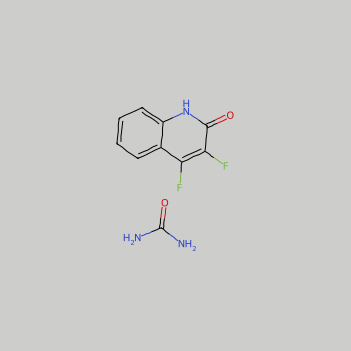 NC(N)=O.O=c1[nH]c2ccccc2c(F)c1F